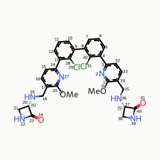 COc1nc(-c2cccc(-c3cccc(-c4ccc(CN[C@H]5CNC5=O)c(OC)n4)c3Cl)c2Cl)ccc1CN[C@H]1CNC1=O